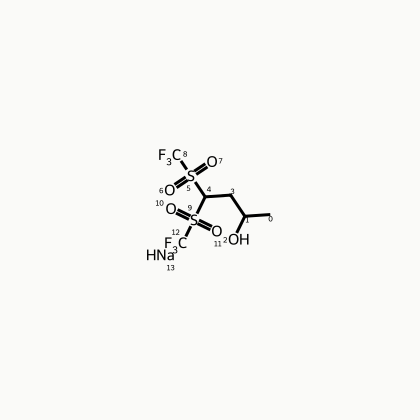 CC(O)CC(S(=O)(=O)C(F)(F)F)S(=O)(=O)C(F)(F)F.[NaH]